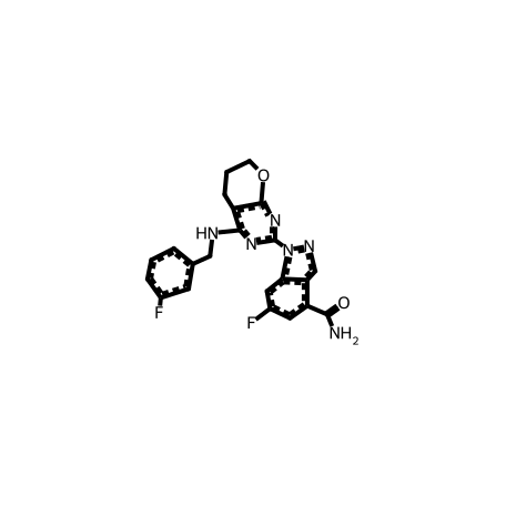 NC(=O)c1cc(F)cc2c1cnn2-c1nc(NCc2cccc(F)c2)c2c(n1)OCCC2